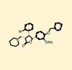 COc1cc([C@@H]2OC(=O)[C@H](CN3CCCCC3)[C@@H]2c2ccccc2Br)ccc1OCc1ccccc1